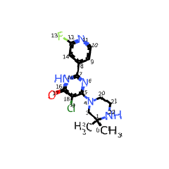 CC1(C)CN(c2nc(-c3ccnc(F)c3)[nH]c(=O)c2Cl)CCN1